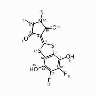 CN1C(=O)C(=C2Sc3c(O)c(F)c(F)c(O)c3S2)C(=O)N1C